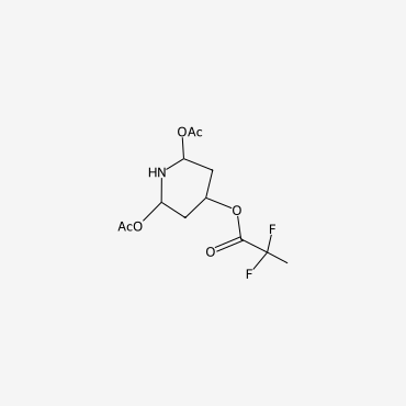 CC(=O)OC1CC(OC(=O)C(C)(F)F)CC(OC(C)=O)N1